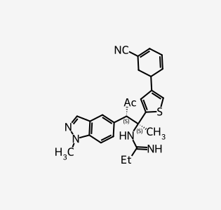 CCC(=N)N[C@](C)(c1cc(C2C=CC=C(C#N)C2)cs1)[C@@H](C(C)=O)c1ccc2c(cnn2C)c1